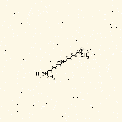 CN(C)CCCCCCNCCCCCCN(C)C